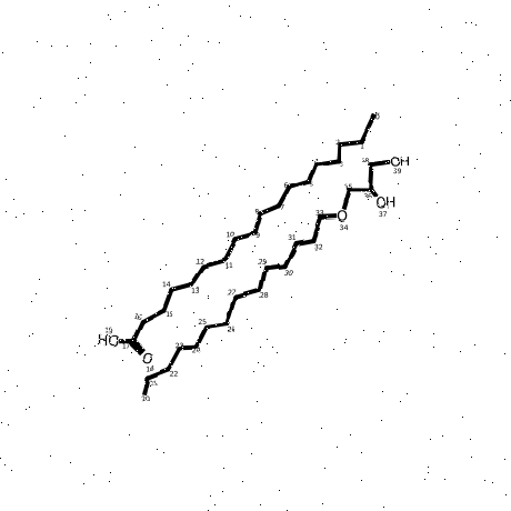 CCCCCCCCCCCCCCCCCC(=O)O.CCCCCCCCCCCCCCOCC(O)CO